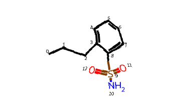 CCCc1ccccc1S(N)(=O)=O